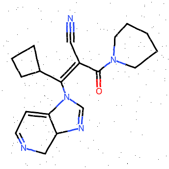 N#CC(C(=O)N1CCCCC1)=C(C1CCC1)N1C=NC2CN=CC=C21